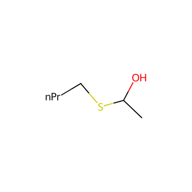 CCCCSC(C)O